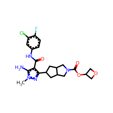 Cn1nc(C2CC3CN(C(=O)OC4COC4)CC3C2)c(C(=O)Nc2ccc(F)c(Cl)c2)c1N